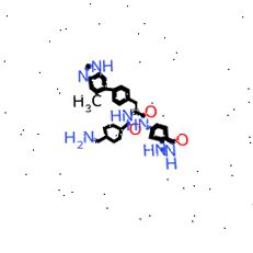 Cc1cc2nc[nH]c2cc1-c1ccc(C[C@H](NC(=O)C2CCC(CN)CC2)C(=O)Nc2ccc3c(=O)[nH][nH]c3c2)cc1